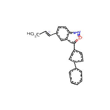 O=C(O)/C=C/c1ccc2noc(-c3ccc(-c4ccccc4)cc3)c2c1